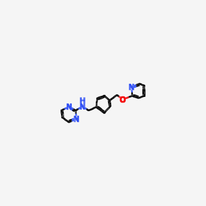 c1ccc(OCc2ccc(CNc3ncccn3)cc2)nc1